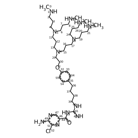 CNCCCN(CCCNC)CCCN(CCCN(CCCNC)CCCNC)CCOc1ccc(CCCCNC(=N)NC(=O)c2cnc(N)c(Cl)n2)cc1